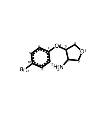 NC1COCC1Oc1ccc(Br)cc1